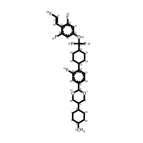 CC1CCC(C2COC(c3ccc(C4CCC(C(F)(F)Oc5cc(F)c(/C=C/F)c(F)c5)CC4)c(F)c3)OC2)CC1